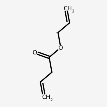 C=C[CH]OC(=O)CC=C